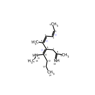 C\C=C/C=C(C)\C(CC(C)=N)=C(\CCC)NC